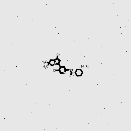 CC(=O)N[C@@H]1CCC[C@H](C(=O)Nc2cc(-c3cc(C#N)c4n3CC(C)(C)C4)c(Cl)cn2)C1